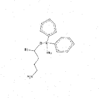 CCC(CCCN)O[Si](c1ccccc1)(c1ccccc1)C(C)(C)C